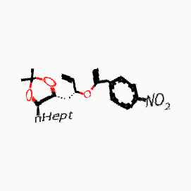 C=C[C@@H](C[C@H]1OC(C)(C)O[C@@H]1CCCCCCC)OC(=C)c1ccc([N+](=O)[O-])cc1